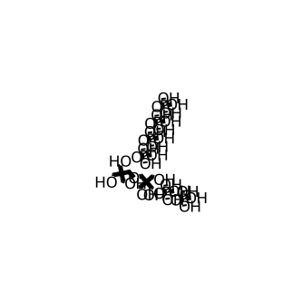 O=P(O)(O)O.O=P(O)(O)O.O=P(O)(O)O.O=P(O)(O)O.O=P(O)(O)O.O=P(O)(O)O.OCC(CO)(CO)COCC(CO)(CO)CO